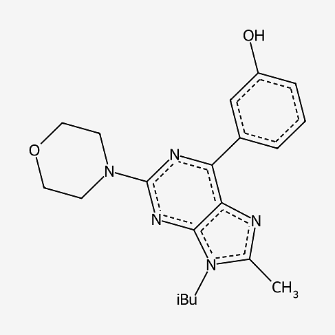 CCC(C)n1c(C)nc2c(-c3cccc(O)c3)nc(N3CCOCC3)nc21